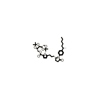 CCCCC[C@H](C)c1ccc(N2C(=O)CC[C@@H]2CCCc2ccc(C(=O)OC[C@H]3OC(C)(C)O[C@@H]3[C@@H]3COC(C)(C)O3)s2)cc1